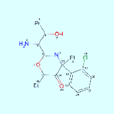 CCC1OC(C(N)C(O)C(C)C)=NC(CC)(c2ccccc2Cl)C1=O